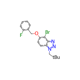 CC(C)(C)Cn1nnc2c(Br)c(OCc3ccccc3F)ccc21